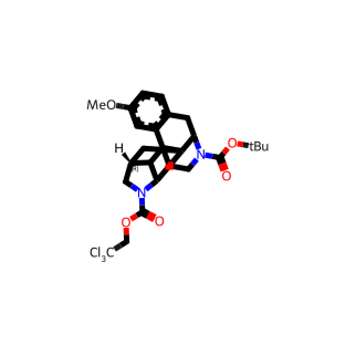 COc1ccc2c(c1)C13CCN(C(=O)OC(C)(C)C)C(C2)C12CCC1C3[C@H](CN1C(=O)OCC(Cl)(Cl)Cl)C2